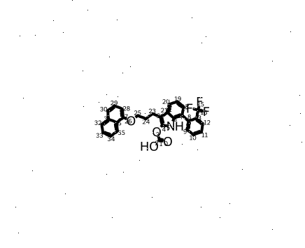 O=C(O)Oc1[nH]c2c(-c3ccccc3C(F)(F)F)cccc2c1CCCOc1cccc2ccccc12